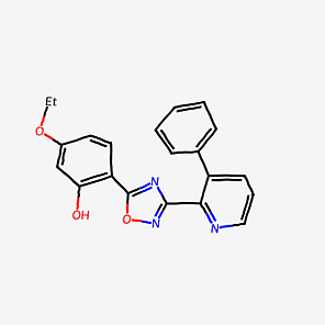 CCOc1ccc(-c2nc(-c3ncccc3-c3ccccc3)no2)c(O)c1